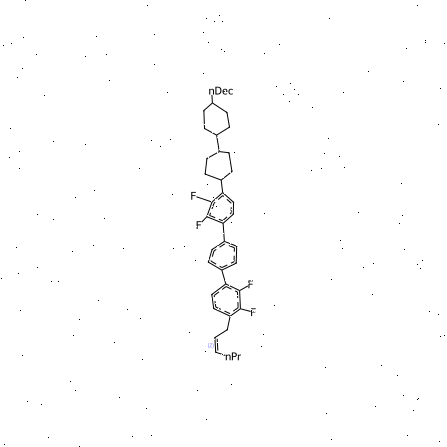 CCC/C=C\Cc1ccc(-c2ccc(-c3ccc(C4CCC(C5CCC(CCCCCCCCCC)CC5)CC4)c(F)c3F)cc2)c(F)c1F